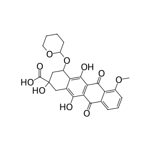 COc1cccc2c1C(=O)c1c(O)c3c(c(O)c1C2=O)CC(O)(C(=O)O)CC3OC1CCCCO1